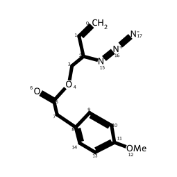 C=CC(COC(=O)Cc1ccc(OC)cc1)N=[N+]=[N-]